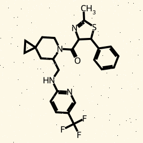 CC1=NC(C(=O)N2CCC3(CC3)CC2CNc2ccc(C(F)(F)F)cn2)C(c2ccccc2)S1